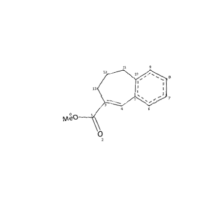 COC(=O)C1=Cc2ccccc2CCC1